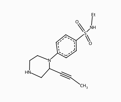 CC#CC1CNCCN1c1ccc(S(=O)(=O)NCC)cc1